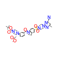 COC(=O)C[C@@H]1CN(C(=O)OC(C)(C)C)CCN1c1cccc(C(=O)N2CCc3cc(S(=O)(=O)N4CCN(c5nc(C)cc(C#N)n5)CC4)ccc32)c1